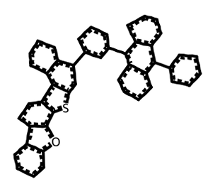 c1ccc(-c2c3ccccc3c(-c3cccc(-c4cc5sc6c(ccc7c8ccccc8oc76)c5c5ccccc45)c3)c3ccccc23)cc1